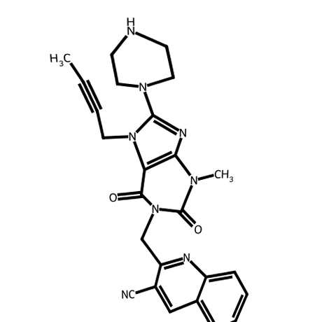 CC#CCn1c(N2CCNCC2)nc2c1c(=O)n(Cc1nc3ccccc3cc1C#N)c(=O)n2C